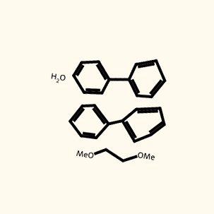 COCCOC.O.c1ccc(-c2ccccc2)cc1.c1ccc(-c2ccccc2)cc1